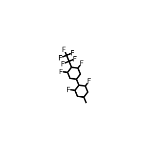 CC1CC(F)C(C2CC(F)C(C(F)(F)C(F)(F)F)C(F)C2)C(F)C1